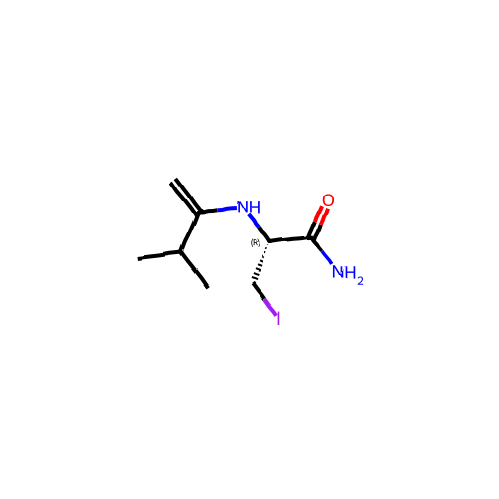 C=C(N[C@@H](CI)C(N)=O)C(C)C